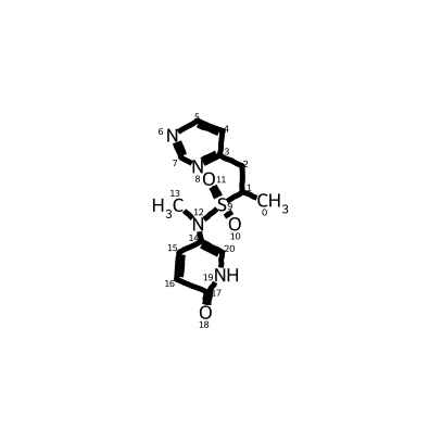 CC(Cc1ccncn1)S(=O)(=O)N(C)c1ccc(=O)[nH]c1